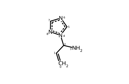 C=CC(N)n1cncn1